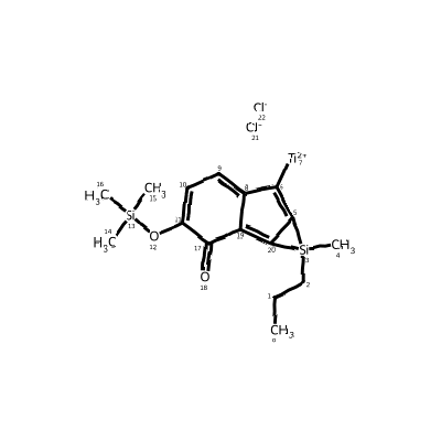 CCC[Si]1(C)C2=[C]([Ti+2])C3=CC=C(O[Si](C)(C)C)C(=O)C3=C21.[Cl-].[Cl-]